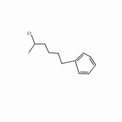 CCC(I)CCCCc1ccccc1